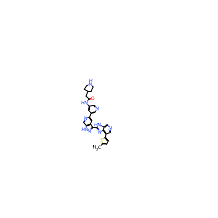 Cc1ccc(-c2cncc3[nH]c(-c4n[nH]c5cnc(-c6cncc(NC(=O)CC7CCNCC7)c6)cc45)nc23)s1